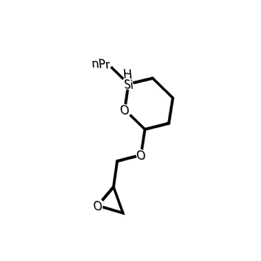 CCC[SiH]1CCCC(OCC2CO2)O1